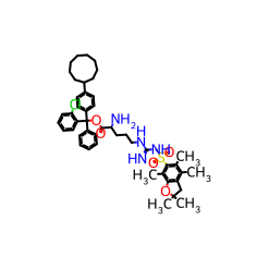 Cc1c(C)c(S(=O)(=O)NC(=N)NCCC[C@H](N)C(=O)OC(c2ccccc2)(c2ccc(C3CCCCCCCC3)cc2)c2ccccc2Cl)c(C)c2c1CC(C)(C)O2